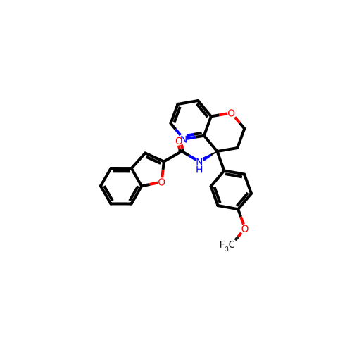 O=C(N[C@]1(c2ccc(OC(F)(F)F)cc2)CCOc2cccnc21)c1cc2ccccc2o1